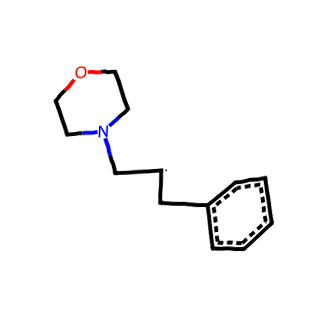 [CH](Cc1ccccc1)CN1CCOCC1